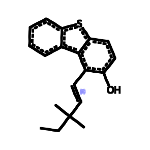 CCC(C)(C)/C=C/c1c(O)ccc2sc3ccccc3c12